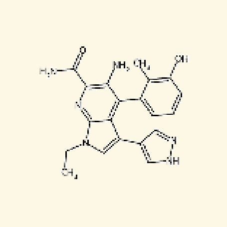 CCn1cc(-c2cn[nH]c2)c2c(-c3cccc(O)c3C)c(N)c(C(N)=O)nc21